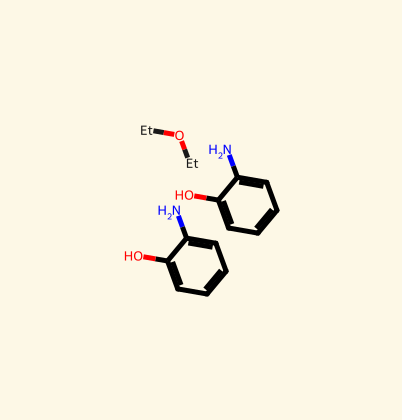 CCOCC.Nc1ccccc1O.Nc1ccccc1O